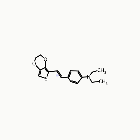 CCN(CC)c1ccc(/C=C/c2scc3c2OCCO3)cc1